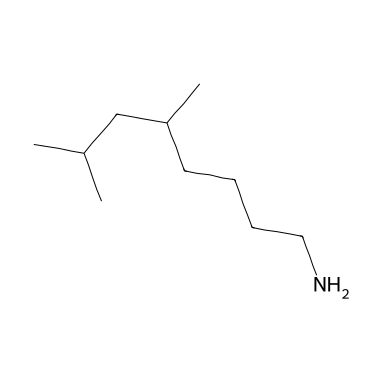 CC(C)CC(C)CCCCN